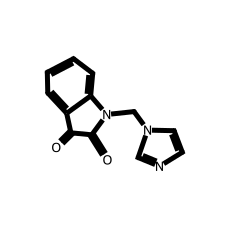 O=C1C(=O)N(Cn2ccnc2)c2ccccc21